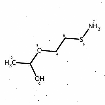 CC(O)OCCSN